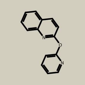 c1ccc(Oc2ccc3ccccc3n2)nc1